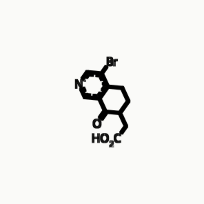 O=C(O)CC1CCc2c(Br)cncc2C1=O